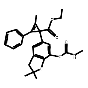 CCOC(=O)C1(c2cc3c(c(OC(=O)NC)c2)OC(C)(C)C3)C(C)=C1c1ccccc1